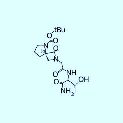 CC(O)C(NC(=O)CN1C[C@]2(CCCN2C(=O)OC(C)(C)C)C1=O)C(N)=O